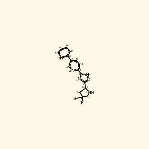 FC1(F)CN[C@H](c2nc(-c3ccc(-c4ccccn4)cn3)no2)C1